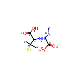 CC(C)(S)C(N)C(=O)O.CNCC(=O)O